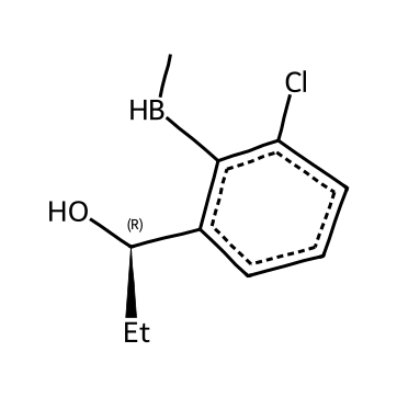 CBc1c(Cl)cccc1[C@H](O)CC